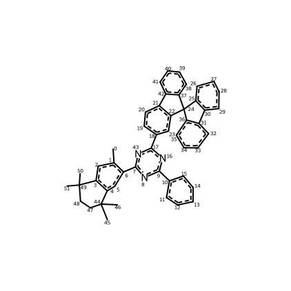 Cc1cc2c(cc1-c1nc(-c3ccccc3)nc(-c3ccc4c(c3)C3(c5ccccc5-c5ccccc53)c3ccccc3-4)n1)C(C)(C)CCC2(C)C